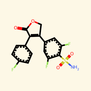 NS(=O)(=O)c1c(F)cc(C2=C(c3ccc(F)cc3)C(=O)OC2)cc1F